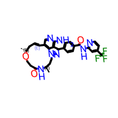 C[C@@H]1CCn2nc(-c3ccc(C(=O)Nc4cc(C(F)(F)F)ccn4)cc3)c3c(N)ncc(c32)/C=C/C[C@@H](C)OCCC(=O)N1